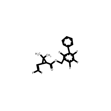 CC1(C)C(C=C(F)F)C1C(=O)OCc1c(F)c(F)c(F)c(-c2ccccc2)c1F